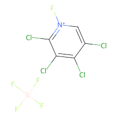 F[B-](F)(F)F.F[n+]1cc(Cl)c(Cl)c(Cl)c1Cl